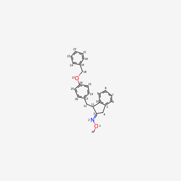 CO/N=C1\Cc2ccccc2C1Cc1ccc(OCc2ccccc2)cc1